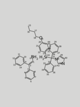 BC=C(c1ccccc1)c1ccccc1.CCCCOc1ccc([SiH2]C(c2ccccc2)(c2ccccc2)n2ccnc2)cc1